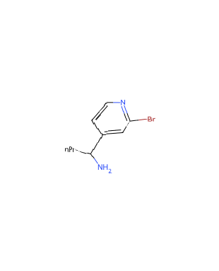 CCCC(N)c1ccnc(Br)c1